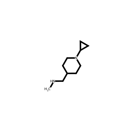 CNCC1CCN(C2CC2)CC1